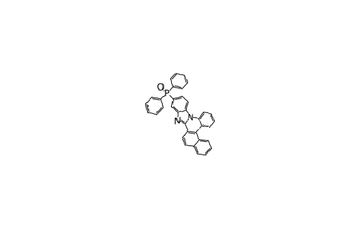 O=P(c1ccccc1)(c1ccccc1)c1ccc2c(c1)nc1c3ccc4ccccc4c3c3ccccc3n21